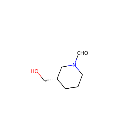 O=CN1CCC[C@H](CO)C1